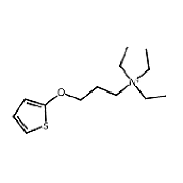 CC[N+](CC)(CC)CCCOc1cccs1